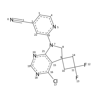 N#Cc1ccnc(N2CC3(CC(F)(F)C3)c3c(Cl)ncnc32)c1